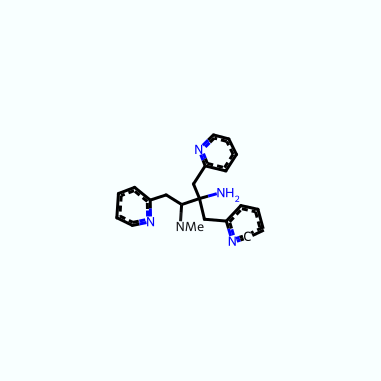 CNC(Cc1ccccn1)C(N)(Cc1ccccn1)Cc1ccccn1